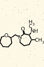 CNC1C(=O)N(CC2CCCCCO2)CCCC1C